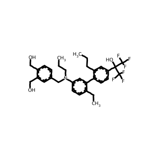 CCCc1cc(C(O)(C(F)(F)F)C(F)(F)F)ccc1-c1cc(N(CCC)Cc2ccc(CO)c(CO)c2)ccc1CC